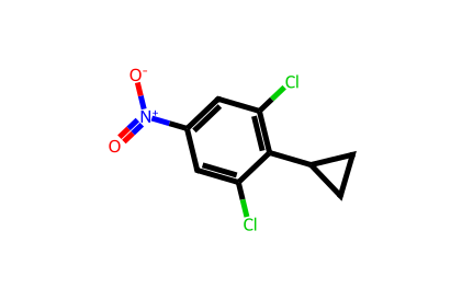 O=[N+]([O-])c1cc(Cl)c(C2CC2)c(Cl)c1